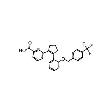 O=C(O)c1cccc(C2=C(c3ccccc3OCc3ccc(C(F)(F)F)cc3)CCC2)n1